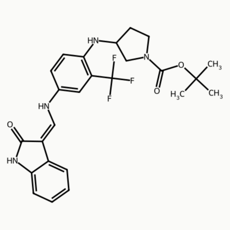 CC(C)(C)OC(=O)N1CCC(Nc2ccc(NC=C3C(=O)Nc4ccccc43)cc2C(F)(F)F)C1